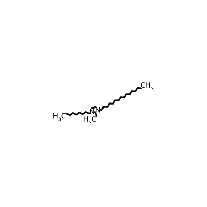 CCCCCCCCCCCCCCCCn1cc[n+](CCCCCCCCC)c1CC